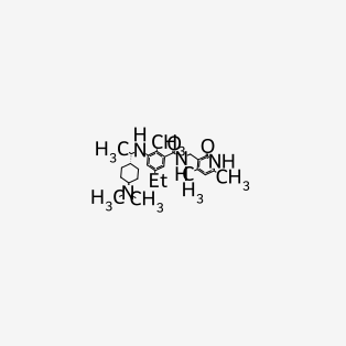 CCc1cc(NC(C)[C@H]2CC[C@H](N(C)C)CC2)c(C)c(C(=O)NCc2c(C)cc(C)[nH]c2=O)c1